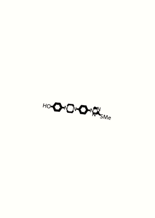 CSc1ncn(-c2ccc(N3CCN(c4ccc(O)cc4)CC3)cc2)n1